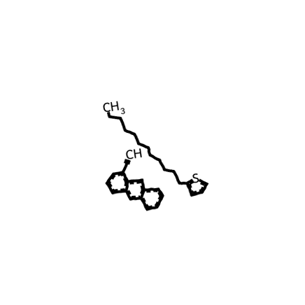 C#Cc1cccc2cc3ccccc3cc12.CCCCCCCCCCCCc1cccs1